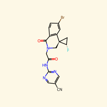 N#Cc1cnc(NC(=O)CN2C[C@]3(C[C@@H]3F)c3cc(Br)ccc3C2=O)nc1